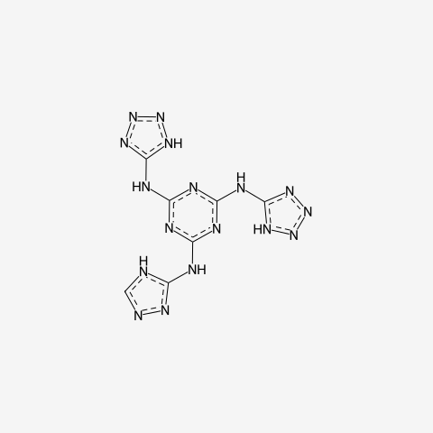 c1nnc(Nc2nc(Nc3nnn[nH]3)nc(Nc3nnn[nH]3)n2)[nH]1